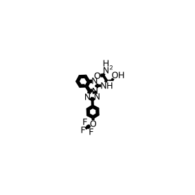 NC(=O)[C@@H](CO)Nc1nc2ccccc2c2nc(-c3ccc(OC(F)(F)F)cc3)nn12